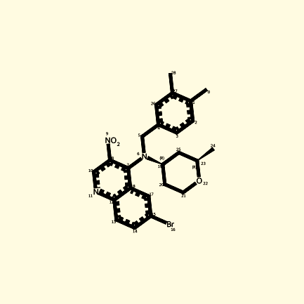 Cc1ccc(CN(c2c([N+](=O)[O-])cnc3ccc(Br)cc23)[C@@H]2CCO[C@H](C)C2)cc1C